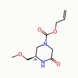 C=CCOC(=O)N1CC(=O)N[C@@H](COC)C1